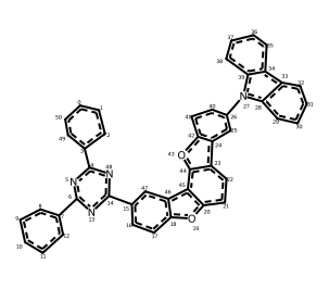 c1ccc(-c2nc(-c3ccccc3)nc(-c3ccc4oc5ccc6c7cc(-n8c9ccccc9c9ccccc98)ccc7oc6c5c4c3)n2)cc1